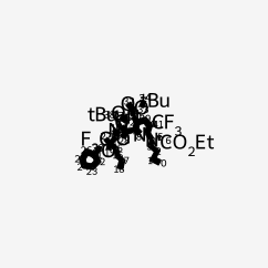 C=CCCN(CC(=O)OCC)c1nc(-c2nnc(C(CCC=C)(OCc3ccccc3)C(F)(F)F)o2)c(N(C(=O)OC(C)(C)C)C(=O)OC(C)(C)C)cc1C(F)(F)F